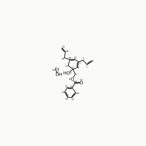 C=CCC1=CC(O)(COC(=O)c2ccccc2)CC(CC=C)=C1.CCO